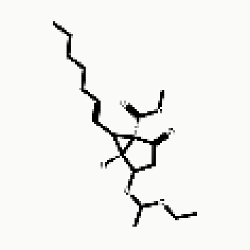 CCCCCC=CC1[C@H]2C(OC(C)OCC)CC(=O)[C@]12C(=O)OC